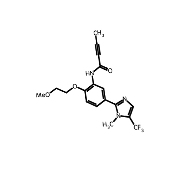 CC#CC(=O)Nc1cc(-c2ncc(C(F)(F)F)n2C)ccc1OCCOC